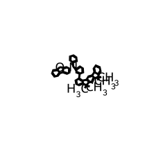 CC1(C)c2ccccc2-c2cc3c(cc21)C(C)(C)c1cccc(-c2cccc(N(c4ccccc4)c4ccc5c(c4)oc4ccccc45)c2)c1-3